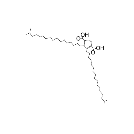 CC(C)CCCCCCCCCCCCCCCc1c(C(=O)O)ccc(C(=O)O)c1CCCCCCCCCCCCCCCC(C)C